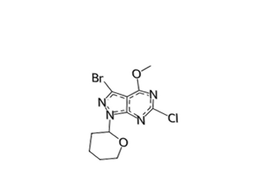 COc1nc(Cl)nc2c1c(Br)nn2C1CCCCO1